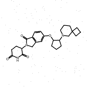 O=C1CCC(N2Cc3cc(OC4CCCC4N4CCCC5(CCC5)C4)ccc3C2=O)C(=O)N1